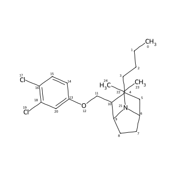 CCCCC1CC2CCC(C1COc1ccc(Cl)c(Cl)c1)N2C(C)C